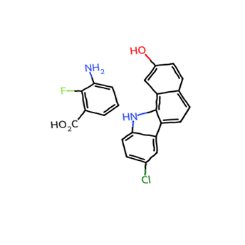 Nc1cccc(C(=O)O)c1F.Oc1ccc2ccc3c4cc(Cl)ccc4[nH]c3c2c1